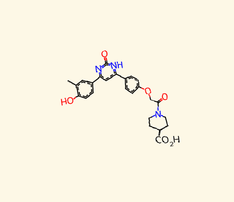 Cc1cc(-c2cc(-c3ccc(OCC(=O)N4CCC(C(=O)O)CC4)cc3)[nH]c(=O)n2)ccc1O